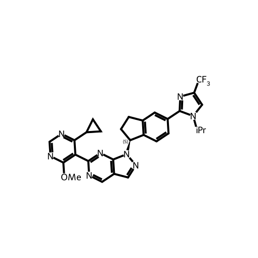 COc1ncnc(C2CC2)c1-c1ncc2cnn([C@H]3CCc4cc(-c5nc(C(F)(F)F)cn5C(C)C)ccc43)c2n1